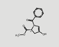 COC(=O)[C@@H]1CC(O)=CN1C(=O)c1ccccc1